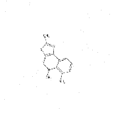 Cc1nc2c(s1)CN(C)c1c(N)cccc1-2